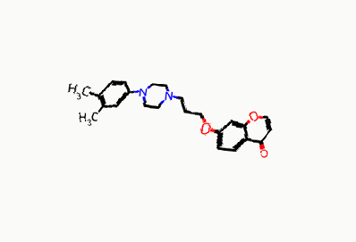 Cc1ccc(N2CCN(CCCOc3ccc4c(=O)ccoc4c3)CC2)cc1C